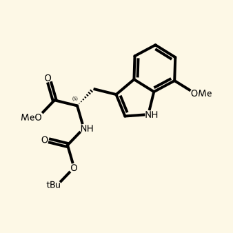 COC(=O)[C@H](Cc1c[nH]c2c(OC)cccc12)NC(=O)OC(C)(C)C